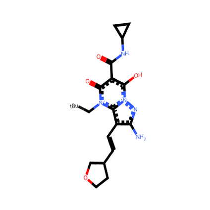 CC(C)(C)Cn1c(=O)c(C(=O)NC2CC2)c(O)n2nc(N)c(/C=C/C3CCOC3)c12